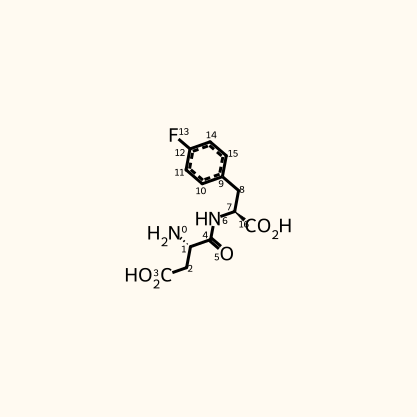 N[C@@H](CC(=O)O)C(=O)N[C@@H](Cc1ccc(F)cc1)C(=O)O